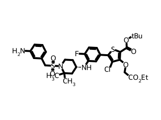 CCOC(=O)COc1c(C(=O)OC(C)(C)C)sc(-c2ccc(F)c(N[C@H]3CCN(S(=O)(=O)Cc4cccc(N)c4)C(C)(C)C3)c2)c1Cl